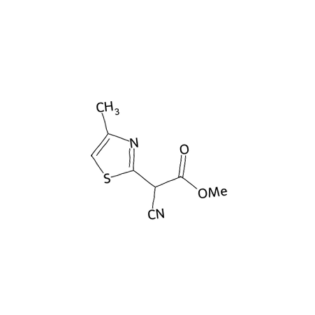 COC(=O)C(C#N)c1nc(C)cs1